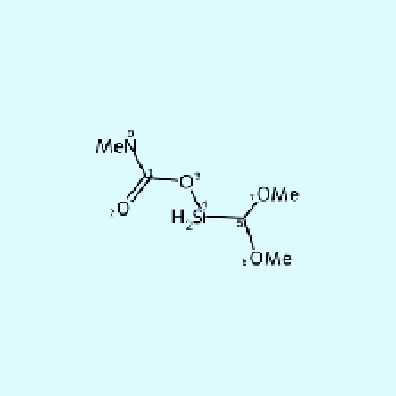 CNC(=O)O[SiH2]C(OC)OC